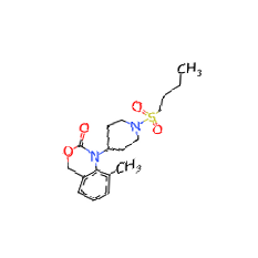 CCCCS(=O)(=O)N1CCC(N2C(=O)OCc3cccc(C)c32)CC1